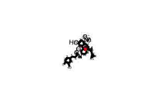 Cc1ccc(CCC(=O)N(C)C2CC[C@@]3(O)[C@H]4Cc5c([N+](=O)[O-])cc(O)c6c5[C@@]3(CCN4CC3CC3)C2O6)cc1C